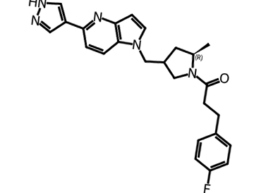 C[C@@H]1CC(Cn2ccc3nc(-c4cn[nH]c4)ccc32)CN1C(=O)CCc1ccc(F)cc1